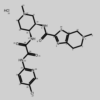 CN1CCc2nc(C(=O)N[C@@H]3CN(C)CC[C@@H]3NC(=O)C(=O)Nc3ccc(Cl)cn3)sc2C1.Cl